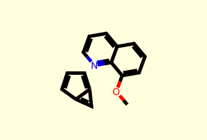 COc1cccc2cccnc12.c1cc2cc-2c1